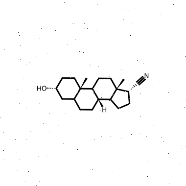 C[C@]12CC[C@@H](O)CC1CC[C@@H]1C2CC[C@@]2(C)C1CC[C@H]2C#N